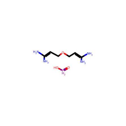 NC(N)=CCOCC=C(N)N.O=[PH2]O